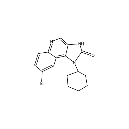 O=c1[nH]c2cnc3ccc(Br)cc3c2n1C1CCCCC1